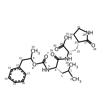 CC(C)C[C@H](NC(=O)OC(C)Cc1ccccc1)C(=O)N[C@@H](C[C@@H]1CCNC1=O)C(=O)O